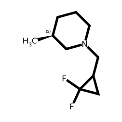 C[C@H]1CCCN(CC2CC2(F)F)C1